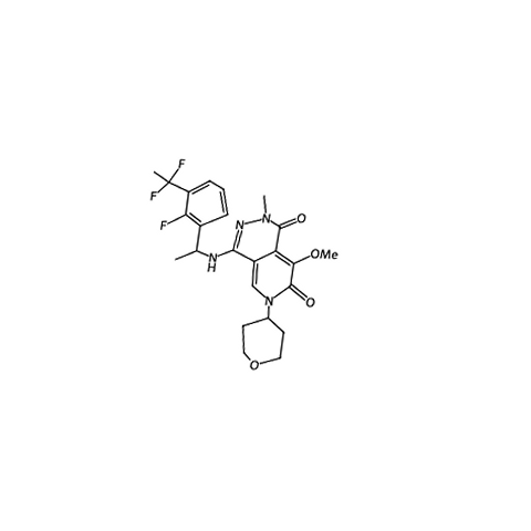 COc1c(=O)n(C2CCOCC2)cc2c(NC(C)c3cccc(C(C)(F)F)c3F)nn(C)c(=O)c12